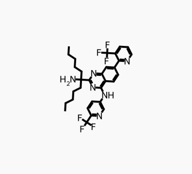 CCCCCC(N)(CCCCC)c1nc(Nc2ccc(C(F)(F)F)nc2)c2ccc(-c3ncccc3C(F)(F)F)cc2n1